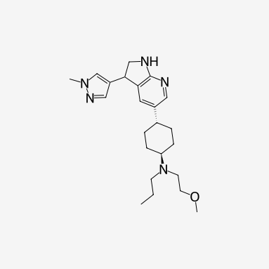 CCCN(CCOC)[C@H]1CC[C@H](c2cnc3c(c2)C(c2cnn(C)c2)CN3)CC1